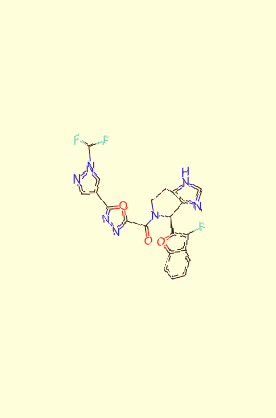 O=C(c1nnc(-c2cnn(C(F)F)c2)o1)N1CCc2[nH]cnc2[C@H]1c1oc2ccccc2c1F